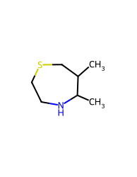 CC1CSCCNC1C